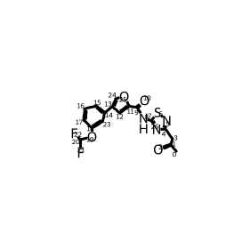 CC(=O)Cc1nsc(NC(=O)c2cc(-c3cccc(OC(F)F)c3)co2)n1